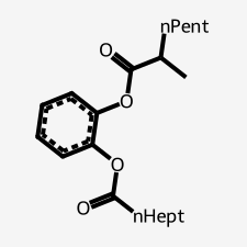 CCCCCCCC(=O)Oc1ccccc1OC(=O)C(C)CCCCC